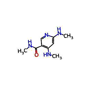 CNC(=O)c1cnc(NC)cc1NC